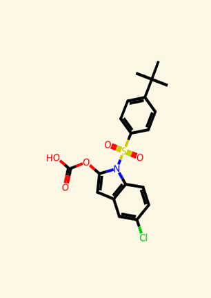 CC(C)(C)c1ccc(S(=O)(=O)n2c(OC(=O)O)cc3cc(Cl)ccc32)cc1